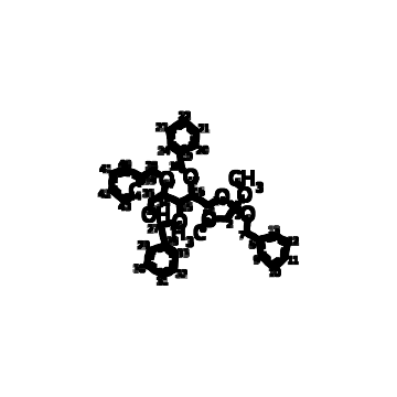 COCC(OC)(OCc1ccccc1)OCC(OCc1ccccc1)C(OCc1ccccc1)C(CO)OCc1ccccc1